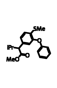 COC(=O)C(c1ccc(SC)c(Oc2ccccc2)c1)C(C)C